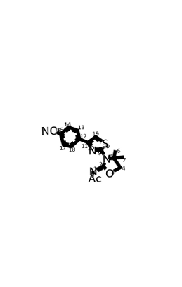 CC(=O)N=C1OCC(C)(C)N1c1nc(-c2ccc(C#N)cc2)cs1